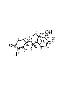 C[C@]12CC[C@H]3[C@@H](CCC4=C(Cl)C(=O)CC[C@@H]43)[C@@H]1CC=C(Cl)C2O